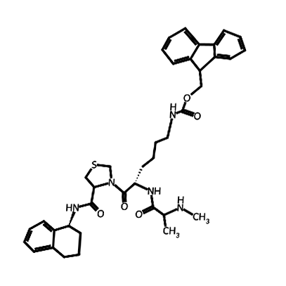 CNC(C)C(=O)N[C@@H](CCCCNC(=O)OCC1c2ccccc2-c2ccccc21)C(=O)N1CSCC1C(=O)N[C@H]1CCCc2ccccc21